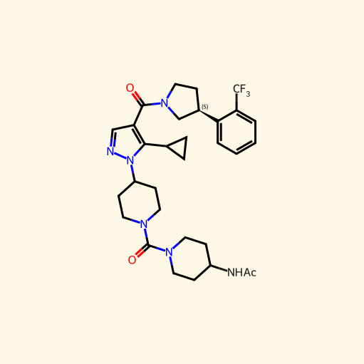 CC(=O)NC1CCN(C(=O)N2CCC(n3ncc(C(=O)N4CC[C@@H](c5ccccc5C(F)(F)F)C4)c3C3CC3)CC2)CC1